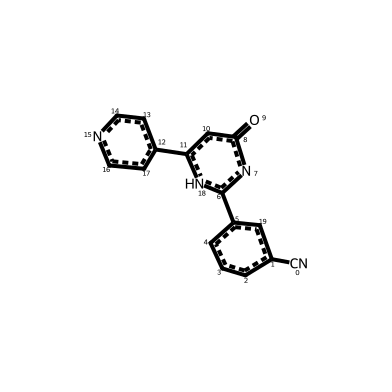 N#Cc1cccc(-c2nc(=O)cc(-c3ccncc3)[nH]2)c1